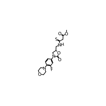 COC(=O)CC(=S)NCC1CN(c2ccc(N3CCOCC3)c(F)c2)C(=O)O1